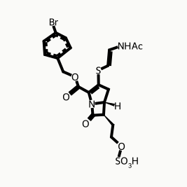 CC(=O)N/C=C/SC1=C(C(=O)OCc2ccc(Br)cc2)N2C(=O)[C@H](CCOS(=O)(=O)O)[C@H]2C1